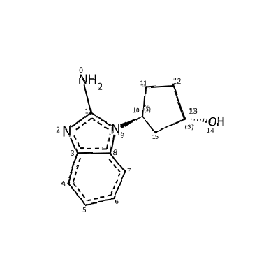 Nc1nc2ccccc2n1[C@H]1CC[C@H](O)C1